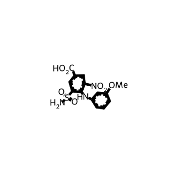 COc1cccc(Nc2c([N+](=O)[O-])cc(C(=O)O)cc2S(N)(=O)=O)c1